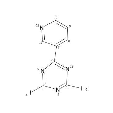 Ic1nc(I)nc(-c2cccnc2)n1